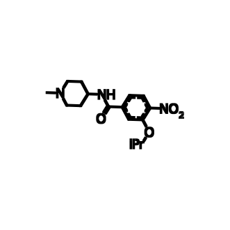 CC(C)Oc1cc(C(=O)NC2CCN(C)CC2)ccc1[N+](=O)[O-]